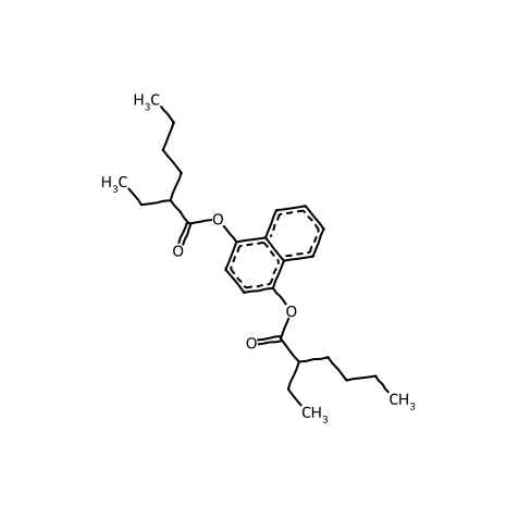 CCCCC(CC)C(=O)Oc1ccc(OC(=O)C(CC)CCCC)c2ccccc12